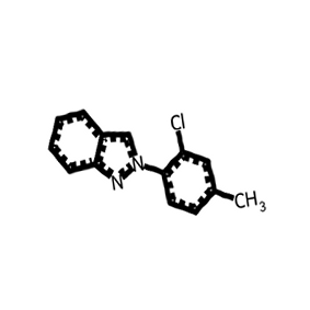 Cc1ccc(-n2cc3ccccc3n2)c(Cl)c1